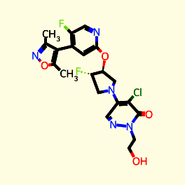 Cc1noc(C)c1-c1cc(O[C@H]2CN(c3cnn(CCO)c(=O)c3Cl)C[C@@H]2F)ncc1F